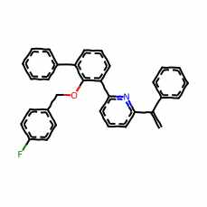 C=C(c1ccccc1)c1cccc(-c2cccc(-c3ccccc3)c2OCc2ccc(F)cc2)n1